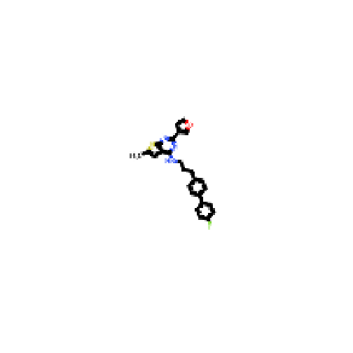 Cc1cc2c(NCCCc3ccc(-c4ccc(F)cc4)cc3)nc(-c3ccoc3)nc2s1